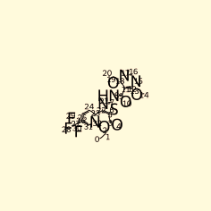 CCOC(=O)c1sc(NC(=O)c2c(OC)ncnc2OC)nc1-c1ccc(C(F)(F)F)cn1